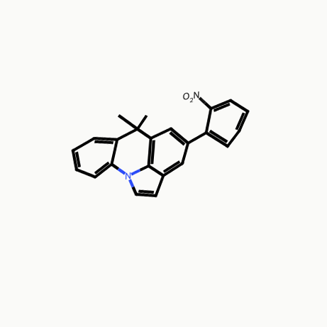 CC1(C)c2ccccc2-n2ccc3cc(-c4ccccc4[N+](=O)[O-])cc1c32